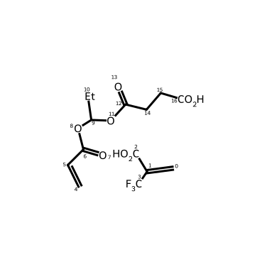 C=C(C(=O)O)C(F)(F)F.C=CC(=O)OC(CC)OC(=O)CCC(=O)O